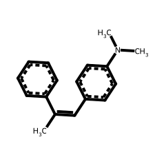 CC(=Cc1ccc(N(C)C)cc1)c1ccccc1